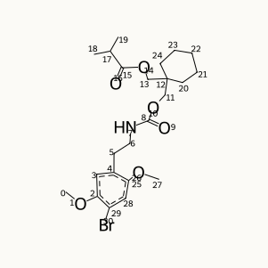 COc1cc(CCNC(=O)OCC2(COC(=O)C(C)C)CCCCC2)c(OC)cc1Br